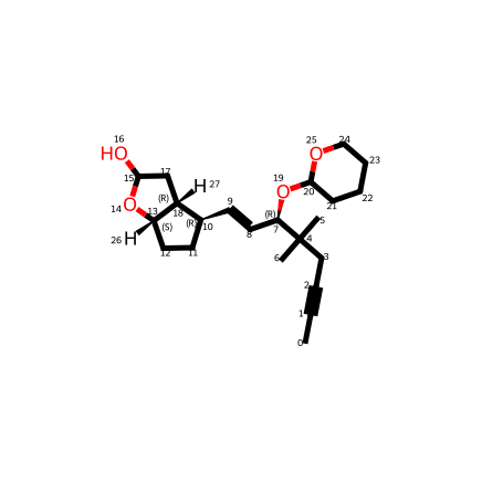 CC#CCC(C)(C)[C@@H](C=C[C@H]1CC[C@@H]2OC(O)C[C@@H]21)OC1CCCCO1